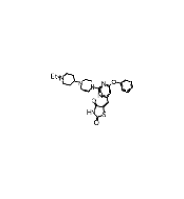 CCN1CCC(N2CCN(c3nc(C=C4SC(=O)NC4=O)cc(Oc4ccccc4)n3)CC2)CC1